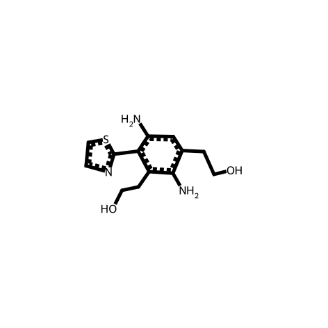 Nc1cc(CCO)c(N)c(CCO)c1-c1nccs1